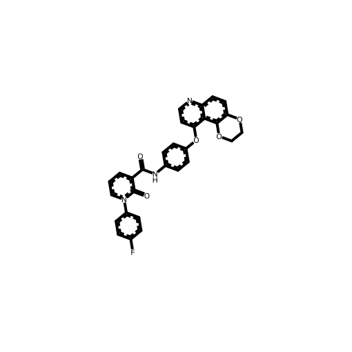 O=C(Nc1ccc(Oc2ccnc3ccc4c(c23)OCCO4)cc1)c1cccn(-c2ccc(F)cc2)c1=O